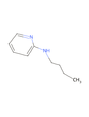 CCCCNc1cc[c]cn1